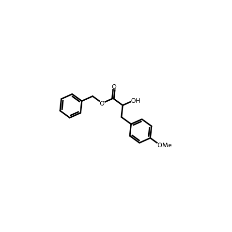 COc1ccc(CC(O)C(=O)OCc2ccccc2)cc1